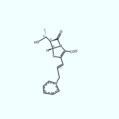 C[C@@H](O)[C@H]1C(=O)N2C(C(=O)[O-])=C(/C=C/C[n+]3ccccc3)S[C@H]12